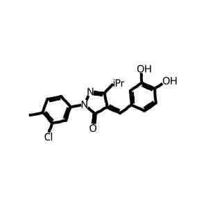 Cc1ccc(N2N=C(C(C)C)/C(=C\c3ccc(O)c(O)c3)C2=O)cc1Cl